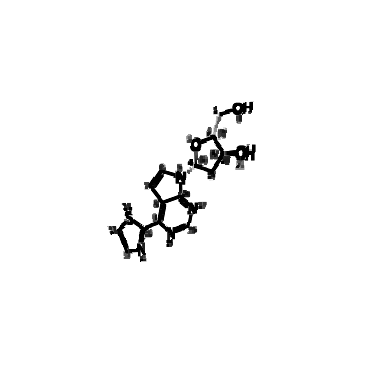 OC[C@H]1O[C@@H](n2ccc3c(-c4nccs4)ncnc32)C[C@@H]1O